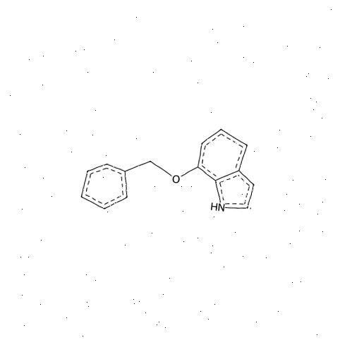 [c]1cc2cccc(OCc3ccccc3)c2[nH]1